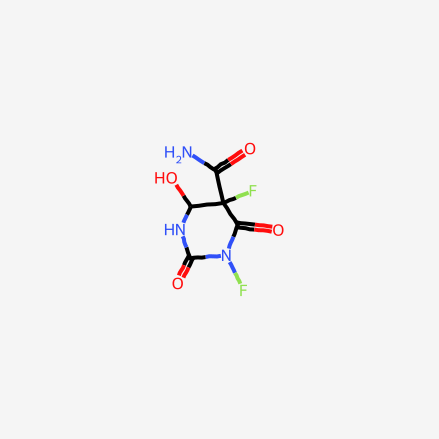 NC(=O)C1(F)C(=O)N(F)C(=O)NC1O